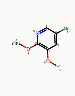 CCCCOc1ncc(Br)cc1OCC